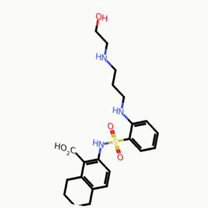 O=C(O)c1c(NS(=O)(=O)c2ccccc2NCCCNCCO)ccc2c1CCCC2